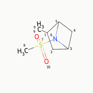 CC1CC2CC1N2S(C)(=O)=O